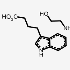 NCCO.O=C(O)CCCc1c[nH]c2ccccc12